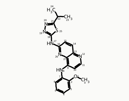 COc1ccccc1Nc1ccnc2ccc(Nc3nnc(C(C)C)s3)nc12